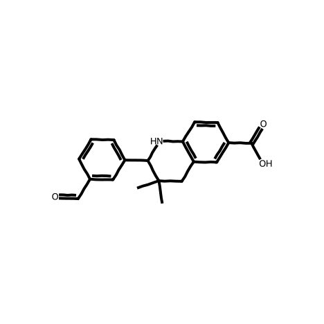 CC1(C)Cc2cc(C(=O)O)ccc2NC1c1cccc(C=O)c1